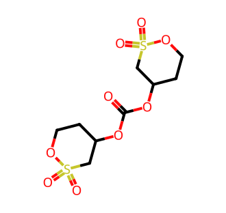 O=C(OC1CCOS(=O)(=O)C1)OC1CCOS(=O)(=O)C1